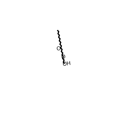 CCCCCCCCCCC(=O)CCCCOCCCO